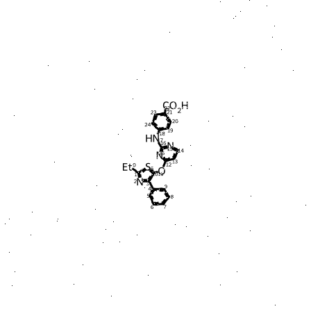 CCc1nc(-c2ccccc2)c(Oc2ccnc(Nc3ccc(C(=O)O)cc3)n2)s1